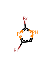 Brc1c[pH]c(Br)p1